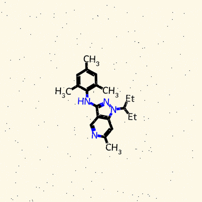 CCC(CC)n1nc(Nc2c(C)cc(C)cc2C)c2cnc(C)cc21